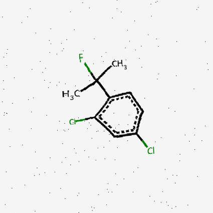 CC(C)(F)c1ccc(Cl)cc1Cl